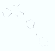 Nc1c2c(=O)[nH]c3ccccc3c2nn1-c1ccc(CCN2CCC(O)CC2)cc1